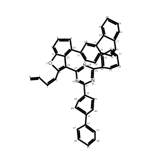 C=C/C=C\c1oc2cccc(-c3ccc4ccc5ccccc5c4c3)c2c1-c1nc(-c2ccccc2)nc(-c2ccc(-c3ccccc3)cc2)n1